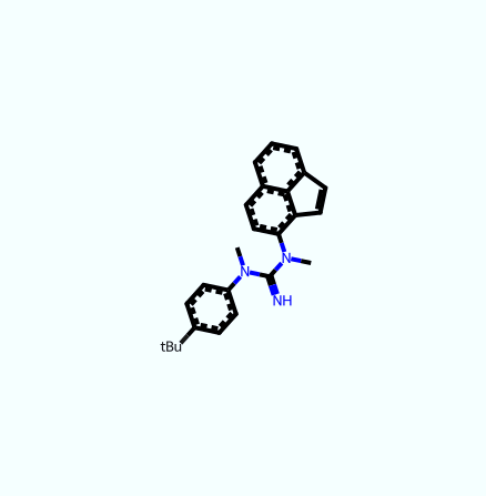 CN(C(=N)N(C)c1ccc2cccc3c2c1C=C3)c1ccc(C(C)(C)C)cc1